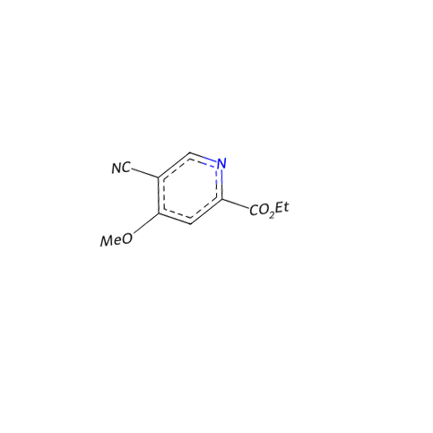 CCOC(=O)c1cc(OC)c(C#N)cn1